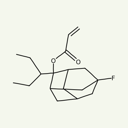 C=CC(=O)OC1(C(CC)CC)C2CC3CC1CC(F)(C3)C2